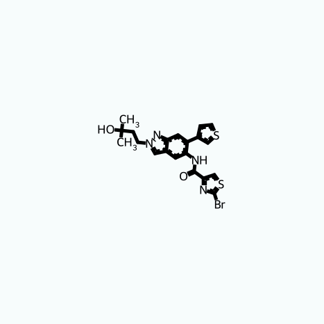 CC(C)(O)CCn1cc2cc(NC(=O)c3csc(Br)n3)c(-c3ccsc3)cc2n1